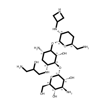 NCC(O)CN[C@@H]1C[C@H](N)C(O[C@H]2O[C@H](CN)CC[C@H]2NC2CNC2)[C@H](O)[C@H]1O[C@H]1O[C@H](CO)[C@@H](O)[C@H](N)[C@H]1O